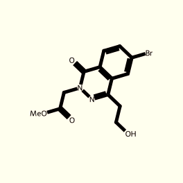 COC(=O)Cn1nc(CCO)c2cc(Br)ccc2c1=O